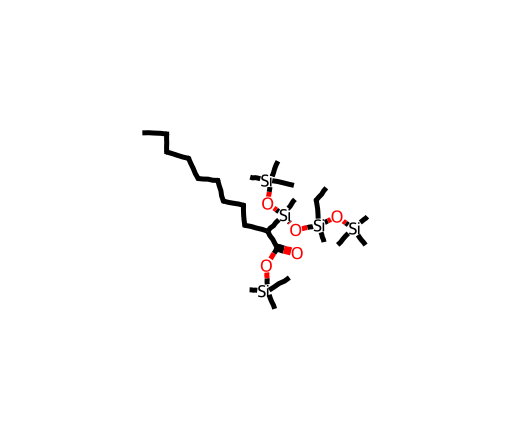 CCCCCCCCCC(C(=O)O[Si](C)(C)C)[Si](C)(O[Si](C)(C)C)O[Si](C)(CC)O[Si](C)(C)C